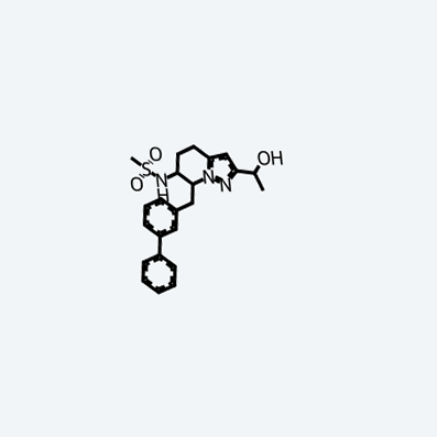 CC(O)c1cc2n(n1)C(Cc1cccc(-c3ccccc3)c1)C(NS(C)(=O)=O)CC2